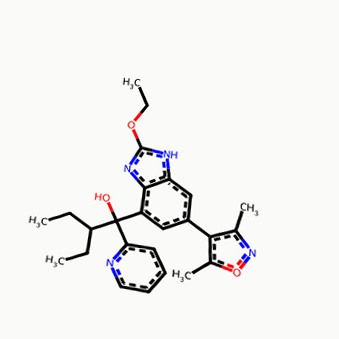 CCOc1nc2c(C(O)(c3ccccn3)C(CC)CC)cc(-c3c(C)noc3C)cc2[nH]1